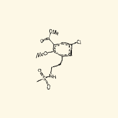 COC(=O)c1cc(Cl)cc(CCNS(C)(=O)=O)c1OC